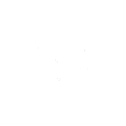 N[C@@H](CCC(=O)O)C(=O)O.N[C@@H](CCC(=O)O)C(=O)O